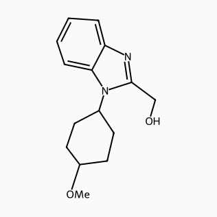 COC1CCC(n2c(CO)nc3ccccc32)CC1